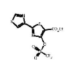 CCOC(=O)c1sc(-c2cscn2)nc1OS(=O)(=O)C(F)(F)F